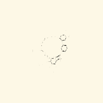 Cc1c(CC(=O)O)c2n3c(Cl)c(nc3c1C)-c1cccc(c1)-c1cc(F)c(F)cc1OCCOCCOC1(C)CCN2CC1